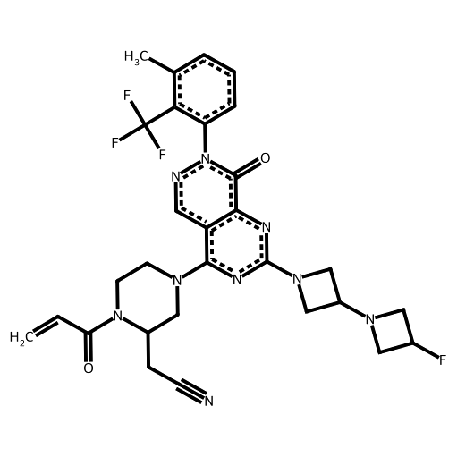 C=CC(=O)N1CCN(c2nc(N3CC(N4CC(F)C4)C3)nc3c(=O)n(-c4cccc(C)c4C(F)(F)F)ncc23)CC1CC#N